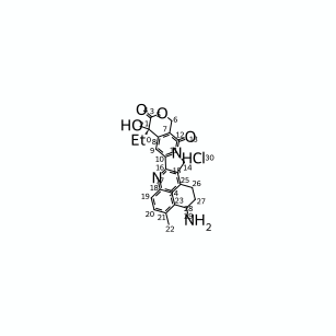 CC[C@@]1(O)C(=O)OCc2c1cc1n(c2=O)Cc2c-1nc1ccc(C)c3c1c2CCC3N.Cl